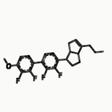 CCCC1=CCC2C1CCC2c1ccc(-c2ccc(OC)c(F)c2F)c(F)c1F